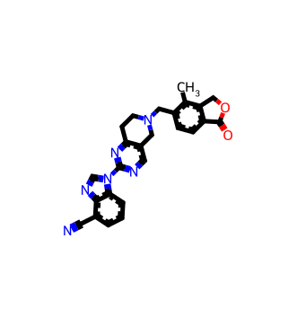 Cc1c(CN2CCc3nc(-n4cnc5c(C#N)cccc54)ncc3C2)ccc2c1COC2=O